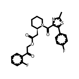 Cc1nc(C(=O)N2CCCC[C@@H]2CC(=O)OCC(=O)c2ccccc2F)c(-c2ccc(F)cc2)s1